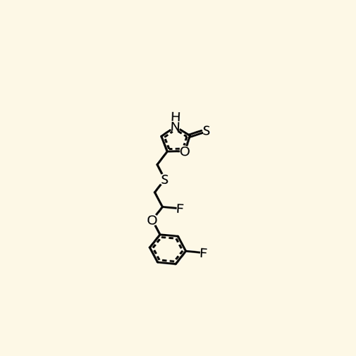 Fc1cccc(OC(F)CSCc2c[nH]c(=S)o2)c1